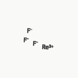 [F-].[F-].[F-].[Re+3]